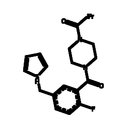 CC(C)C(=O)N1CCN(C(=O)c2cc(C[SH]3C=CC=C3)ccc2F)CC1